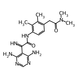 Cc1c(CC(=O)N(C)C)ccc(NC(=O)C(=N)c2c(N)ncnc2N)c1C